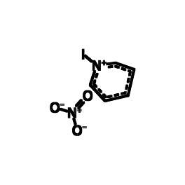 I[n+]1ccccc1.O=[N+]([O-])[O-]